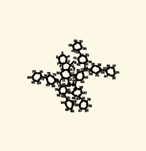 CC1(C)c2ccccc2-c2cc3c4c(c21)-c1cc(N(c2ccc(-c5ccccc5)cc2)c2ccc(-c5ccccc5)cc2)ccc1N(c1ccc(-c2ccccc2)cc1)B4c1cc(-c2ccccc2)ccc1N3c1ccc(-c2ccccc2)cc1